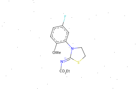 CCOC(=O)/N=C1\SCCN1c1cc(F)ccc1OC